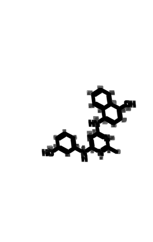 Cc1nc(Nc2cccc(O)c2)nc(Nc2ccc(O)c3ccccc23)n1